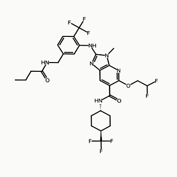 CCCC(=O)NCc1ccc(C(F)(F)F)c(Nc2nc3cc(C(=O)N[C@H]4CC[C@H](C(F)(F)F)CC4)c(OCC(F)F)nc3n2C)c1